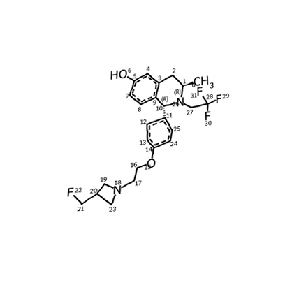 C[C@@H]1Cc2cc(O)ccc2[C@@H](c2ccc(OCCN3CC(CF)C3)cc2)N1CC(F)(F)F